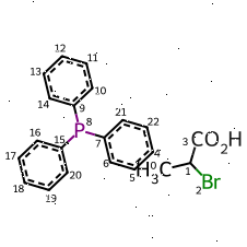 CC(Br)C(=O)O.c1ccc(P(c2ccccc2)c2ccccc2)cc1